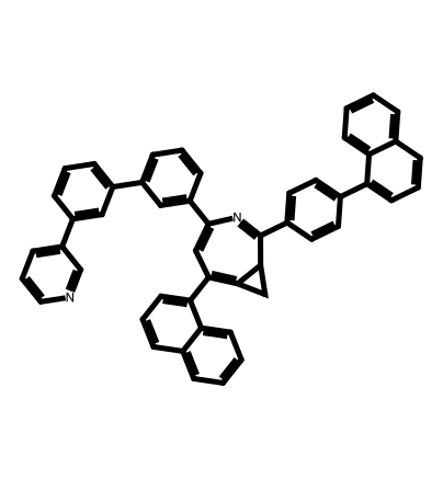 C1=C(c2cccc(-c3cccc(-c4cccnc4)c3)c2)N=C(c2ccc(-c3cccc4ccccc34)cc2)C2CC2=C1c1cccc2ccccc12